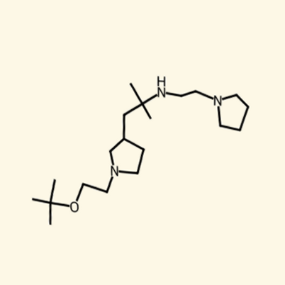 CC(C)(CC1CCN(CCOC(C)(C)C)C1)NCCN1CCCC1